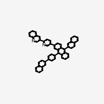 c1ccc2cc(-c3ccc(-c4c5ccccc5c(-c5ccc6ccccc6c5)c5ccc(-c6ccc(-c7cnc8ccccc8c7)nc6)cc45)cc3)ccc2c1